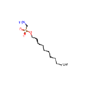 CCCCCCCCCCCCCCCCCCOS(=O)(=O)CN